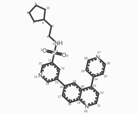 O=S(=O)(NCCC1CCCC1)c1cncc(-c2ccc3nccc(-c4ccncc4)c3c2)c1